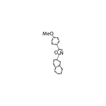 COc1ccc(-c2cnc(-c3ccc4ccccc4c3)o2)cc1